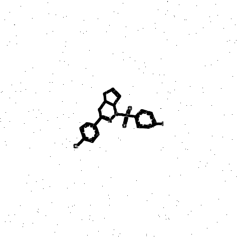 O=S(=O)(c1ccc(I)cc1)N1N=C(c2ccc(Cl)cc2)CC2CC=CC21